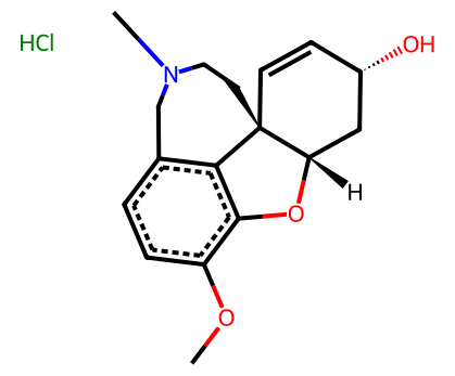 COc1ccc2c3c1O[C@H]1C[C@@H](O)C=C[C@@]31CCN(C)C2.Cl